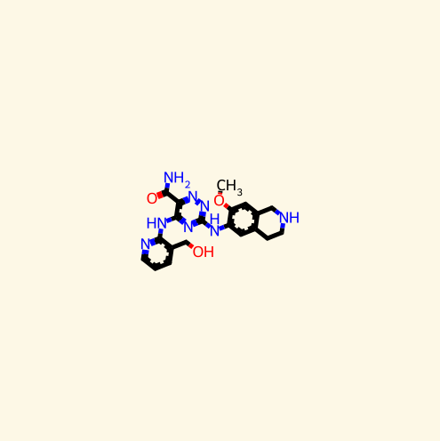 COc1cc2c(cc1Nc1nnc(C(N)=O)c(Nc3ncccc3CO)n1)CCNC2